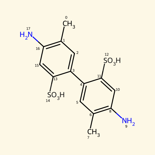 Cc1cc(-c2cc(C)c(N)cc2S(=O)(=O)O)c(S(=O)(=O)O)cc1N